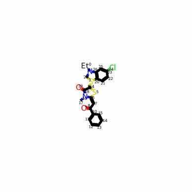 CCN1CS(=C2SC(=CC(=O)c3ccccc3)N(C)C2=O)c2ccc(Cl)cc21